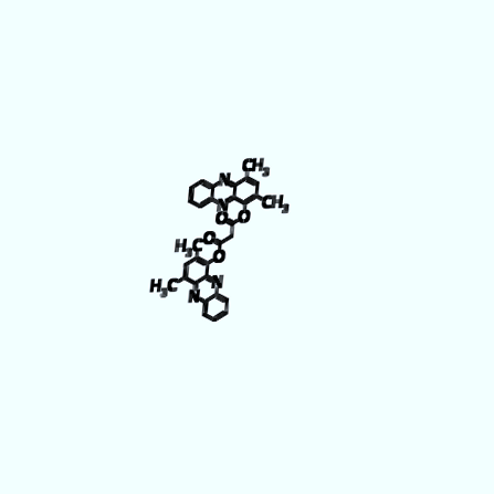 Cc1cc(C)c2nc3ccccc3nc2c1OC(=O)CC(=O)Oc1c(C)cc(C)c2nc3ccccc3nc12